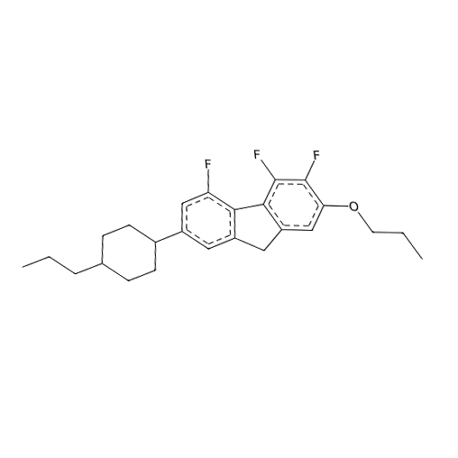 CCCOc1cc2c(c(F)c1F)-c1c(F)cc(C3CCC(CCC)CC3)cc1C2